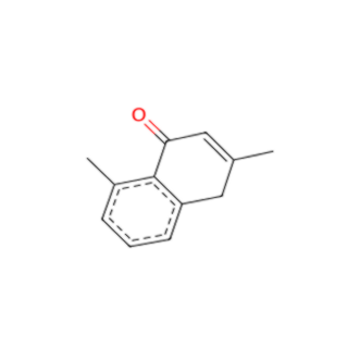 CC1=CC(=O)c2c(C)cccc2C1